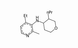 CCCC1COCCC1Nc1c(CC)ccnc1C